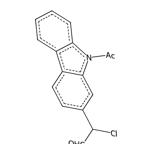 CC(=O)n1c2ccccc2c2ccc(C(Cl)C=O)cc21